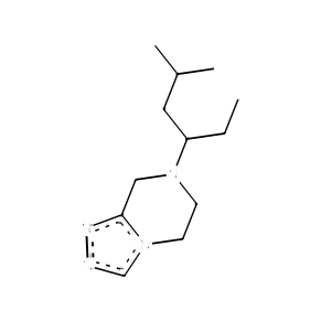 CCC(CC(C)C)N1CCn2cnnc2C1